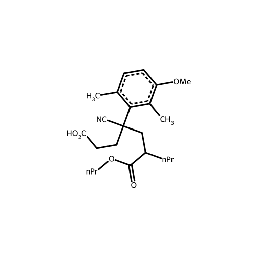 CCCOC(=O)C(CCC)CC(C#N)(CCC(=O)O)c1c(C)ccc(OC)c1C